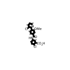 COc1cc(C(=O)Nc2ccc(Cl)c(C(=O)O)c2)ccc1-c1ncccc1Cl